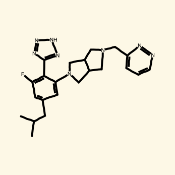 CC(C)Cc1cc(F)c(-c2nn[nH]n2)c(N2CC3CN(Cc4cccnn4)CC3C2)c1